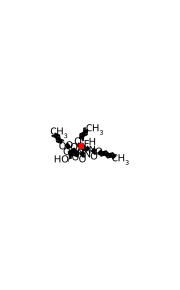 CCCCCOC(=O)Nc1nc(=O)n([C@@H]2O[C@H](CO)[C@@H](OC(=O)OCCCCC)[C@H]2OC(=O)OCCCCC)cc1F